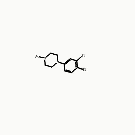 CCc1ccc(N2CCN(C(C)=O)CC2)cc1CC